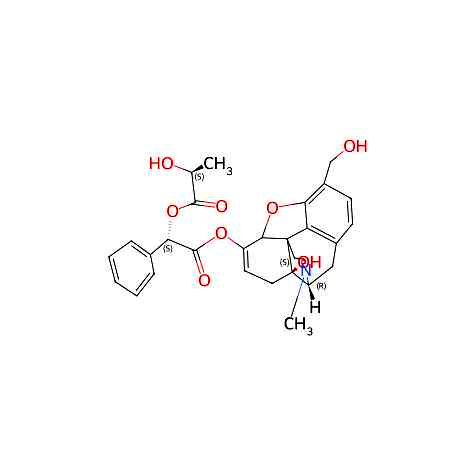 C[C@H](O)C(=O)O[C@H](C(=O)OC1=CC[C@@]2(O)[C@H]3Cc4ccc(CO)c5c4C2(CCN3C)C1O5)c1ccccc1